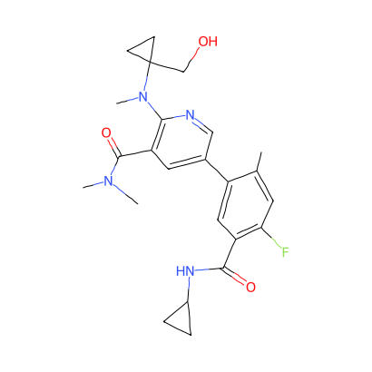 Cc1cc(F)c(C(=O)NC2CC2)cc1-c1cnc(N(C)C2(CO)CC2)c(C(=O)N(C)C)c1